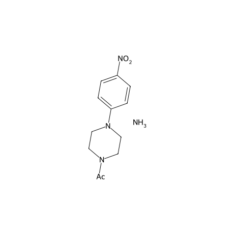 CC(=O)N1CCN(c2ccc([N+](=O)[O-])cc2)CC1.N